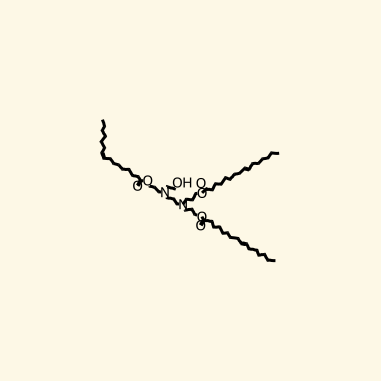 CCCCCCC=CCCCCCCCC(=O)OCCCN(CCCOC(=O)CCCCCCCC=CCCCCCC)CCCN(CCO)CCCOC(=O)CCCCCCC/C=C\CCCCCC